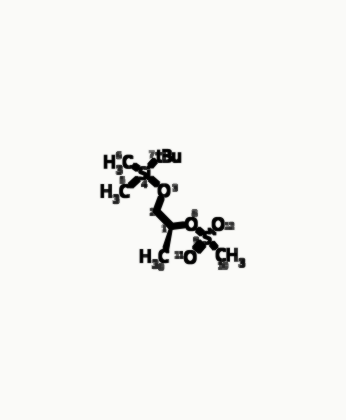 C[C@@H](CO[Si](C)(C)C(C)(C)C)OS(C)(=O)=O